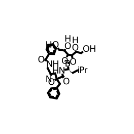 CC(C)C[C@H](NC(=O)C1(Cc2ccccc2)CC(CNC(=O)c2ccccc2)=NO1)B1OC(C(O)CO)C(C(O)CO)O1